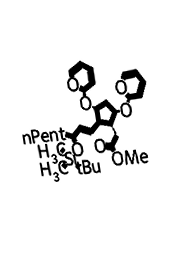 CCCCCC(/C=C/C1[C@@H](CC(=O)OC)[C@@H](O[C@@H]2C=CC=CO2)C[C@H]1O[C@@H]1C=CC=CO1)O[Si](C)(C)C(C)(C)C